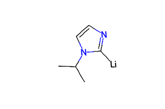 [Li][c]1nccn1C(C)C